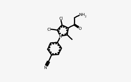 Cc1c(C(=O)CN)c(Cl)c(Cl)n1-c1ccc(C#N)cc1